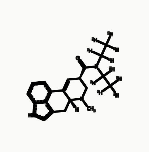 [2H]C([2H])([2H])C([2H])([2H])N(C(=O)[C@@H]1C=C2c3cccc4[nH]cc(c34)C[C@H]2N(C)C1)C([2H])([2H])C([2H])([2H])[2H]